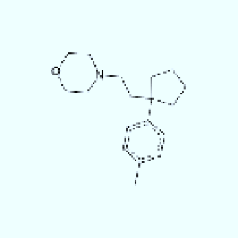 Cc1ccc(C2(CCN3CCOCC3)CCCC2)cc1